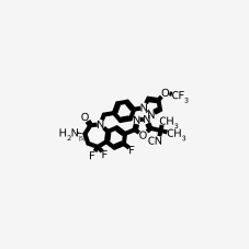 CC(C)(C#N)c1nnc(-c2cc3c(cc2F)C(F)(F)C[C@H](N)C(=O)N3Cc2ccc(-n3cc(OC(F)(F)F)cn3)cc2)o1